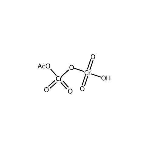 CC(=O)[O][Cr](=[O])(=[O])[O][Cr](=[O])(=[O])[OH]